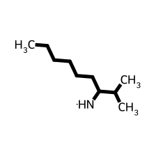 CCCCCCC([NH])C(C)C